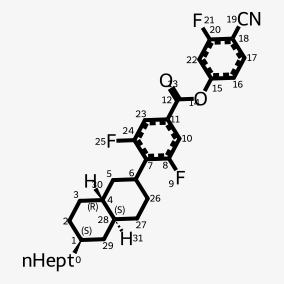 CCCCCCC[C@H]1CC[C@@H]2CC(c3c(F)cc(C(=O)Oc4ccc(C#N)c(F)c4)cc3F)CC[C@H]2C1